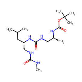 CNC(=O)NC[C@H](CC(C)C)NC(=O)NC[C@H](C)NC(=O)OC(C)(C)C